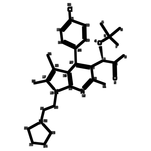 CC(=O)[C@@H](OC(C)(C)C)c1c(C)nc2c(c(C)c(C)n2CCN2CCCC2)c1-c1ccc(Cl)cc1